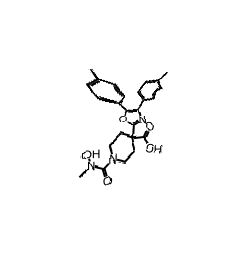 Cc1ccc(-c2nc(C3(C(=O)O)CCN(C(=O)N(C)O)CC3)oc2-c2ccc(C)cc2)cc1